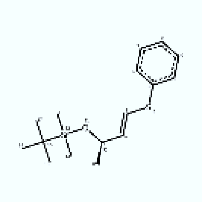 C[C@H](C=CSc1ccccc1)O[Si](C)(C)C(C)(C)C